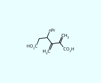 C=C(C(=C)C(CCC)CC(=O)O)C(=O)O